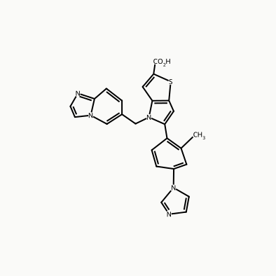 Cc1cc(-n2ccnc2)ccc1-c1cc2sc(C(=O)O)cc2n1Cc1ccc2nccn2c1